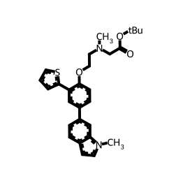 CN(CCOc1ccc(-c2ccc3ccn(C)c3c2)cc1-c1cccs1)CC(=O)OC(C)(C)C